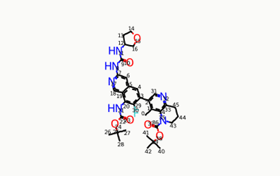 Cc1c(-c2cc3cc(NC(=O)N[C@H]4CCOC4)ncc3c(NC(=O)OC(C)(C)C)c2F)cnc2c1N(C(=O)OC(C)(C)C)CCC2